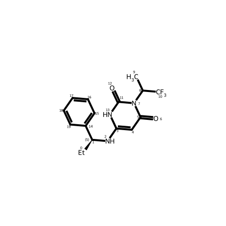 CC[C@H](Nc1cc(=O)n(C(C)C(F)(F)F)c(=O)[nH]1)c1ccccc1